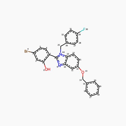 Oc1cc(Br)ccc1-c1nc2cc(OCc3ccccc3)ccc2n1Cc1ccc(F)cc1